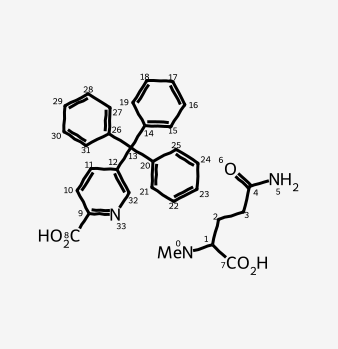 CNC(CCC(N)=O)C(=O)O.O=C(O)c1ccc(C(c2ccccc2)(c2ccccc2)c2ccccc2)cn1